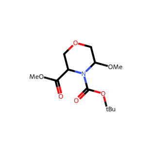 COC(=O)C1COCC(OC)N1C(=O)OC(C)(C)C